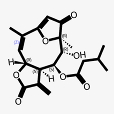 C=C1C(=O)O[C@@H]2/C=C(/C)C3=CC(=O)[C@](C)(O3)[C@H](O)[C@@H](OC(=O)CC(C)C)[C@@H]12